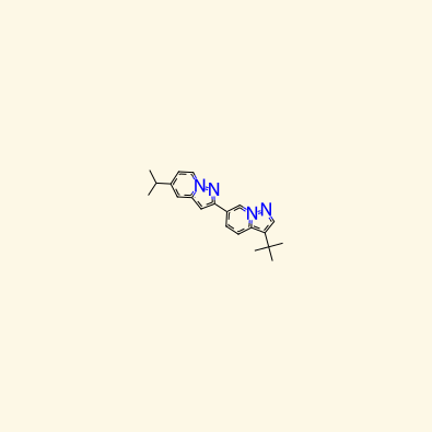 CC(C)c1ccn2nc(-c3ccc4c(C(C)(C)C)cnn4c3)cc2c1